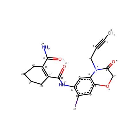 CC#CCN1C(=O)COc2cc(I)c(NC(=O)C3=C(C(N)=O)CCCC3)cc21